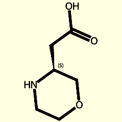 O=C(O)C[C@H]1COCCN1